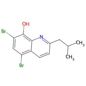 CC(C)Cc1ccc2c(Br)cc(Br)c(O)c2n1